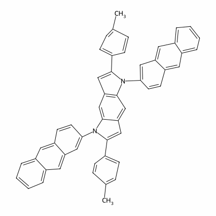 Cc1ccc(-c2cc3cc4c(cc(-c5ccc(C)cc5)n4-c4ccc5cc6ccccc6cc5c4)cc3n2-c2ccc3cc4ccccc4cc3c2)cc1